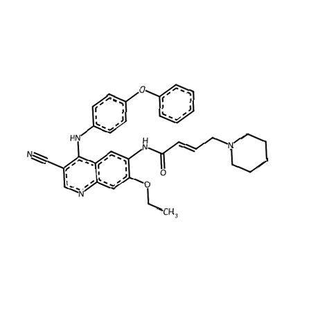 CCOc1cc2ncc(C#N)c(Nc3ccc(Oc4ccccc4)cc3)c2cc1NC(=O)C=CCN1CCCCC1